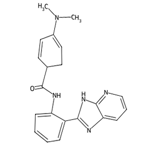 CN(C)C1=CCC(C(=O)Nc2ccccc2-c2nc3cccnc3[nH]2)C=C1